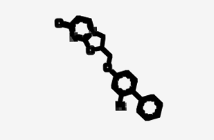 CCc1cc(OCC2Cn3ccc(=O)nc3O2)ccc1-c1ccccc1